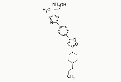 CCC[C@H]1CC[C@H](c2nc(-c3ccc(-c4nnc([C@@](C)(N)CO)s4)cc3)no2)CC1